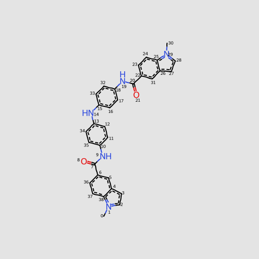 Cn1ccc2cc(C(=O)Nc3ccc(Nc4ccc(NC(=O)c5ccc6c(ccn6C)c5)cc4)cc3)ccc21